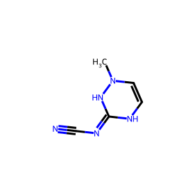 CN1C=CNC(=NC#N)N1